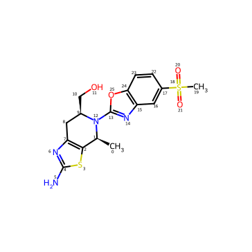 C[C@H]1c2sc(N)nc2C[C@@H](CO)N1c1nc2cc(S(C)(=O)=O)ccc2o1